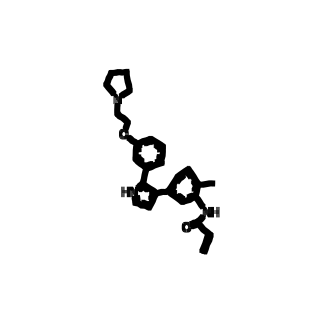 C=CC(=O)Nc1cc(-c2cc[nH]c2-c2cccc(OCCN3CCCC3)c2)ccc1C